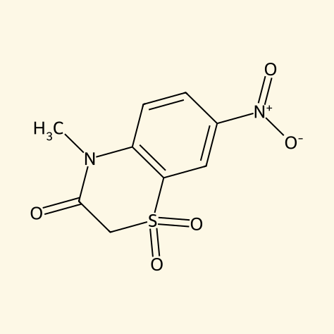 CN1C(=O)CS(=O)(=O)c2cc([N+](=O)[O-])ccc21